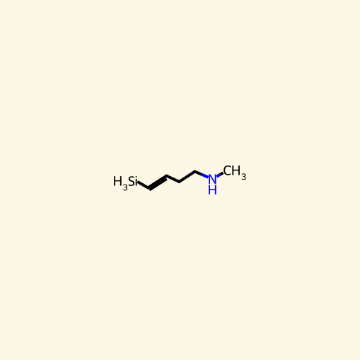 CNCCC=C[SiH3]